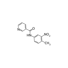 Cc1ccc(NC(=O)c2cccnc2)cc1[N+](=O)[O-]